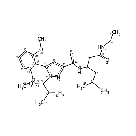 CCNC(=O)CC(CC(C)C)NC(=O)c1cc(-c2c(OC)cccc2OC)n(C(C)C(C)C)n1